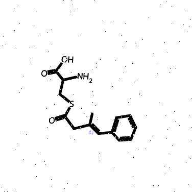 C/C(=C\c1ccccc1)CC(=O)SCC(N)C(=O)O